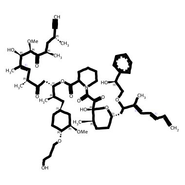 C#C[C@H](C)C[C@@H](C)C(=O)[C@H](OC)[C@H](O)/C(C)=C/[C@@H](C)C(=O)C[C@H](OC(=O)C1CCCCN1C(=O)C(=O)[C@]1(O)O[C@H](CC(OC[C@@H](O)c2ccccc2)/C(C)=C/C=C/C=C)CC[C@H]1C)[C@H](C)C[C@@H]1CC[C@@H](OCCCO)[C@H](OC)C1